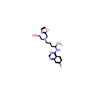 CC(CCCN(CCO)Cc1ncco1)Nc1ncnc2cc(F)ccc12